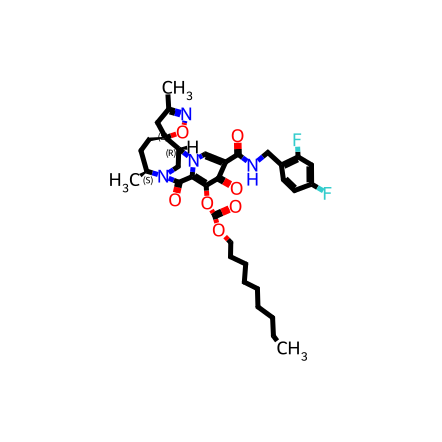 CCCCCCCCCOC(=O)Oc1c2n(cc(C(=O)NCc3ccc(F)cc3F)c1=O)[C@@H]1CN(C2=O)[C@@H](C)CC[C@]12CC(C)=NO2